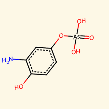 Nc1cc(O[As](=O)(O)O)ccc1O